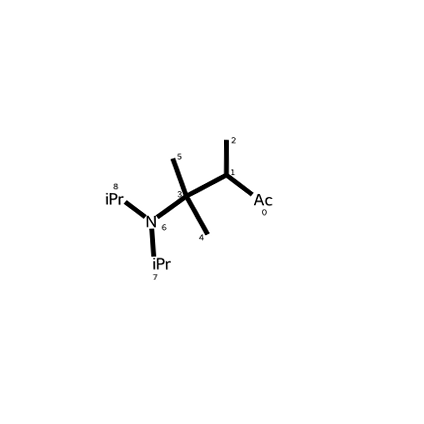 CC(=O)C(C)C(C)(C)N(C(C)C)C(C)C